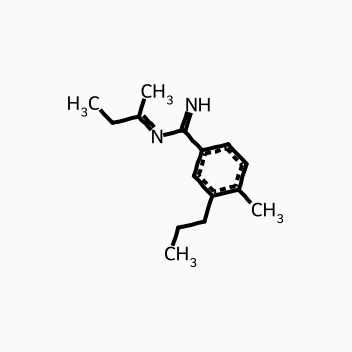 CCCc1cc(C(=N)/N=C(\C)CC)ccc1C